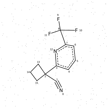 N#CC1(c2cccc(C(F)(F)F)n2)CCC1